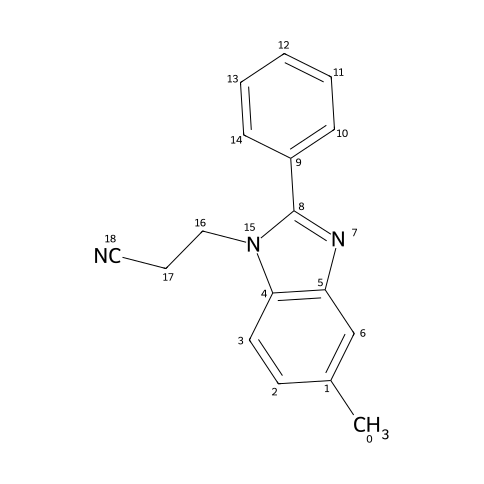 Cc1ccc2c(c1)nc(-c1ccccc1)n2CCC#N